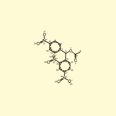 CC(=O)OC(c1ccc([N+](=O)[O-])cc1)c1ccc([N+](=O)[O-])cc1[N+](=O)[O-]